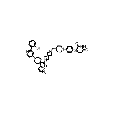 Cn1ccc(C2(C(=O)N3CC4(CN(CC5CCN(c6ccc([C@H]7CCC(=O)NC7=O)cc6)CC5)C4)C3)CCN(c3cnnc(-c4ccccc4O)c3)CC2)n1